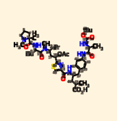 CCC(C)C(NC(=O)[C@@]1(C)CCCN1C)C(=O)N(C)C(CC(OC(C)=O)c1nc(C(=O)NC(Cc2ccc(NC(=O)C(C)NC(=O)OC(C)(C)C)cc2)CC(C)C(=O)O)cs1)C(C)C